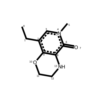 CCc1cn(C)c(=O)c2c1OCCN2